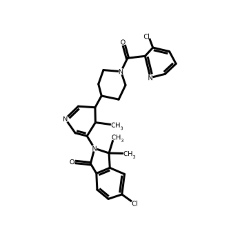 CC1C(N2C(=O)c3ccc(Cl)cc3C2(C)C)=CN=CC1C1CCN(C(=O)c2ncccc2Cl)CC1